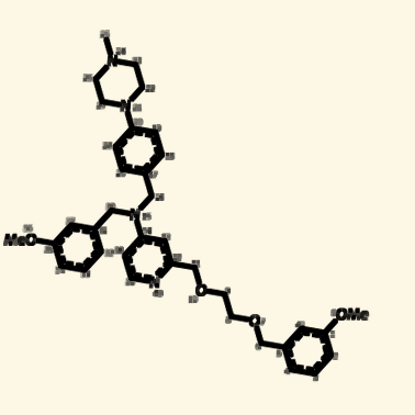 COc1cccc(COCCOCc2cc(N(Cc3ccc(N4CCN(C)CC4)cc3)Cc3cccc(OC)c3)ccn2)c1